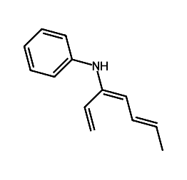 C=C/C(=C\C=C\C)Nc1ccccc1